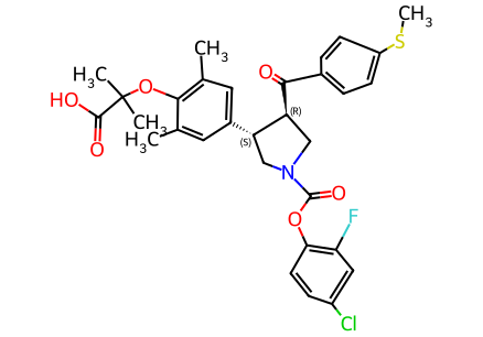 CSc1ccc(C(=O)[C@H]2CN(C(=O)Oc3ccc(Cl)cc3F)C[C@@H]2c2cc(C)c(OC(C)(C)C(=O)O)c(C)c2)cc1